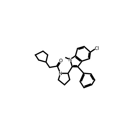 Cn1c(C2CCCN2C(=O)CC2CCCC2)c(-c2ccccc2)c2cc(Cl)ccc21